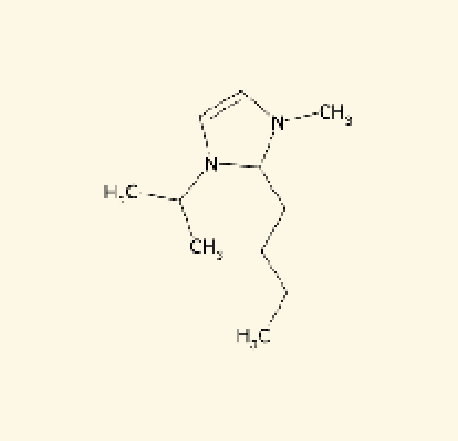 CCCCC1N(C)C=CN1C(C)C